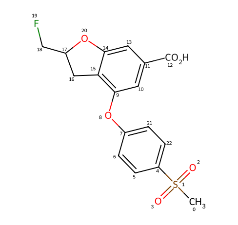 CS(=O)(=O)c1ccc(Oc2cc(C(=O)O)cc3c2CC(CF)O3)cc1